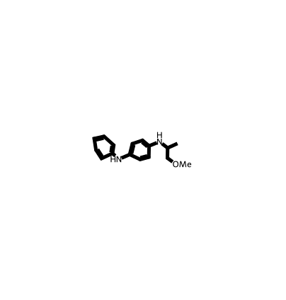 COCC(C)Nc1ccc(Nc2ccccc2)cc1